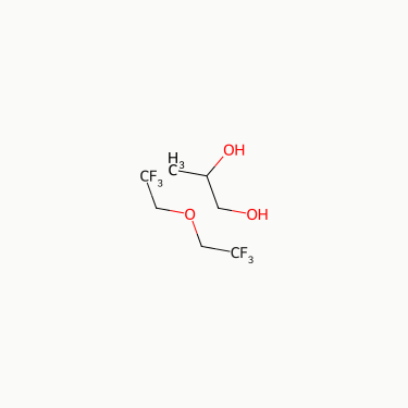 CC(O)CO.FC(F)(F)COCC(F)(F)F